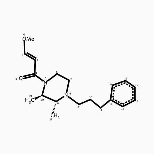 COC=CC(=O)N1CCN(CCCc2ccccc2)[C@H](C)[C@H]1C